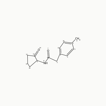 Cc1ccc(CC(=O)NC2CCCC2=O)cc1